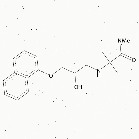 CNC(=O)C(C)(C)NCC(O)COc1cccc2ccccc12